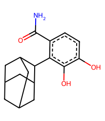 NC(=O)c1ccc(O)c(O)c1C1C2CC3CC(C2)CC1C3